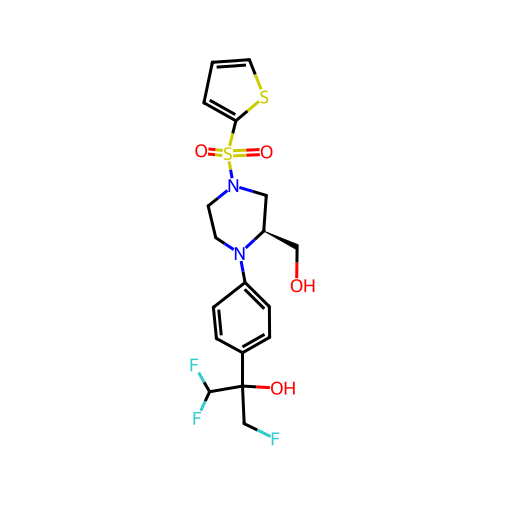 O=S(=O)(c1cccs1)N1CCN(c2ccc(C(O)(CF)C(F)F)cc2)[C@H](CO)C1